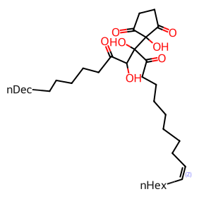 CCCCCC/C=C\CCCCCCCC(=O)C(O)(C(O)C(=O)CCCCCCCCCCCCCCC)C1(O)C(=O)CCC1=O